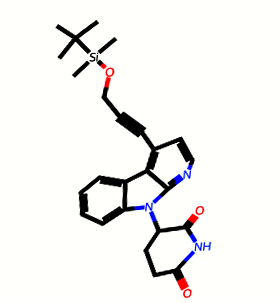 CC(C)(C)[Si](C)(C)OCC#Cc1ccnc2c1c1ccccc1n2C1CCC(=O)NC1=O